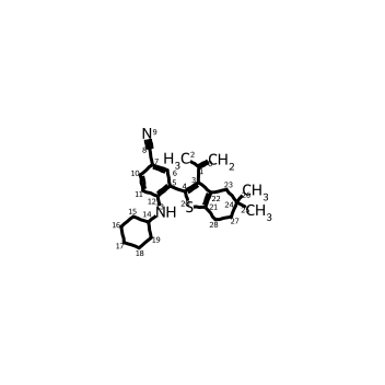 C=C(C)c1c(-c2cc(C#N)ccc2NC2CCCCC2)sc2c1CC(C)(C)CC2